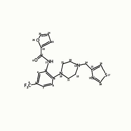 O=C(Nc1cc(C(F)(F)F)ccc1N1CCN(Cc2cscn2)CC1)c1ccco1